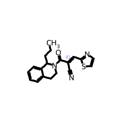 CCCC1c2ccccc2CCN1C(=O)/C(C#N)=C/c1nccs1